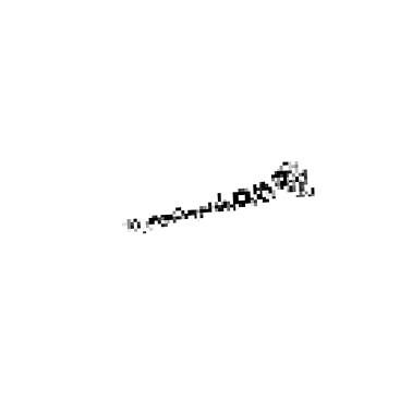 CC1(NC(=O)OC(C)(C)C)C=CN(c2cnc(Sc3cccc(NC(=O)COCCOCCOCCOCC(=O)O)c3)cn2)C=C1